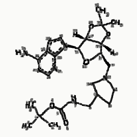 CC(C)(C)OC(=O)NCC1CCN(C[C@H]2O[C@@H](n3ccc4c(N)ncnc43)[C@@H]3OC(C)(C)O[C@@H]32)C1